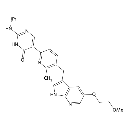 COCCOc1cnc2[nH]cc(Cc3ccc(-c4cnc(NC(C)C)[nH]c4=O)nc3C)c2c1